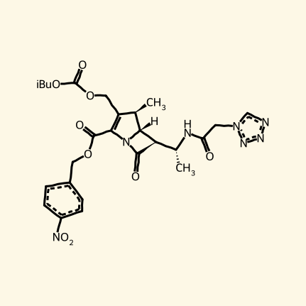 CC(C)COC(=O)OCC1=C(C(=O)OCc2ccc([N+](=O)[O-])cc2)N2C(=O)[C@H]([C@@H](C)NC(=O)Cn3cnnn3)[C@H]2[C@@H]1C